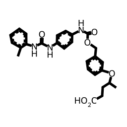 Cc1ccccc1NC(=O)Nc1ccc(NC(=O)OCc2cccc(OC(C)CCC(=O)O)c2)cc1